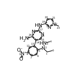 CCN(NC)c1ccc([N+](=O)[O-])cc1-c1cnc(Nc2ccn(C)n2)nc1N